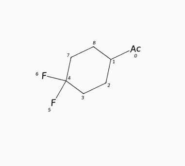 [CH2]C(=O)C1CCC(F)(F)CC1